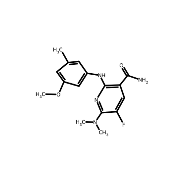 COc1cc(C)cc(Nc2nc(N(C)C)c(F)cc2C(N)=O)c1